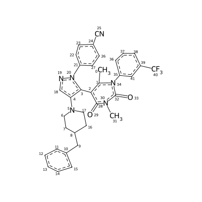 Cc1c(-c2c(N3CCC(Cc4ccccc4)CC3)cnn2-c2ccc(C#N)cc2)c(=O)n(C)c(=O)n1-c1cccc(C(F)(F)F)c1